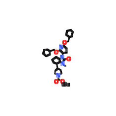 Cn1c(=O)n(-c2ccc(OCc3ccccc3)nc2OCc2ccccc2)c2cccc(C3=CCN(C(=O)OC(C)(C)C)CC3)c21